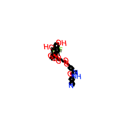 CN(C)[C@@H](C(=O)Nc1ccc2cnccc2c1)c1ccc(COC(=O)CCC(=O)OCC(=O)[C@@]23OC(C)(C)O[C@@H]2C[C@H]2[C@@H]4C[C@H](F)C5=CC(O)C=C[C@]5(C)[C@@]4(F)[C@@H](O)C[C@@]23C)cc1